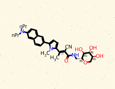 CCCN(CCC)c1ccc2cc(-c3ccc(/C(C)=C(\C#N)C(=O)NC[C@H]4OC[C@H](O)[C@@H](O)[C@@H]4O)n3C)ccc2c1